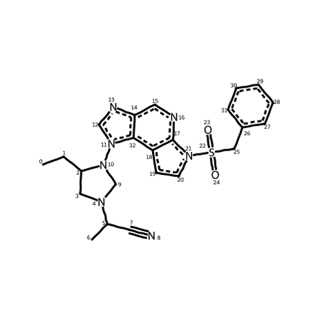 CCC1CN(C(C)C#N)CN1n1cnc2cnc3c(ccn3S(=O)(=O)Cc3ccccc3)c21